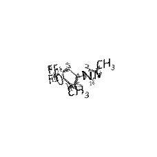 Cc1cn(-c2ccc(OC(F)(F)F)c(C)c2)cn1